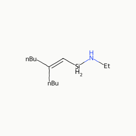 CCCCC(=C[SiH2]NCC)CCCC